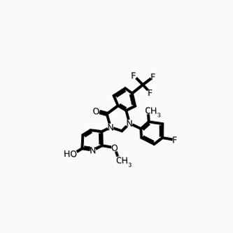 COc1nc(O)ccc1N1CN(c2ccc(F)cc2C)c2cc(C(F)(F)F)ccc2C1=O